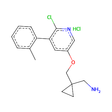 Cc1ccccc1-c1cc(OCC2(CN)CC2)cnc1Cl.Cl